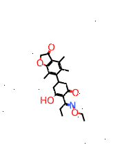 CCON=C(CC)C1=C(O)CC(c2c(C)c(C)c3c(c2C)OCC3=O)CC1=O